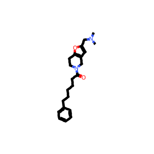 CN(C)Cc1cc2c(o1)CCN(C(=O)CCCCCc1ccccc1)C2